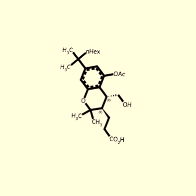 CCCCCCC(C)(C)c1cc(OC(C)=O)c2c(c1)OC(C)(C)[C@H](CCC(=O)O)[C@H]2CO